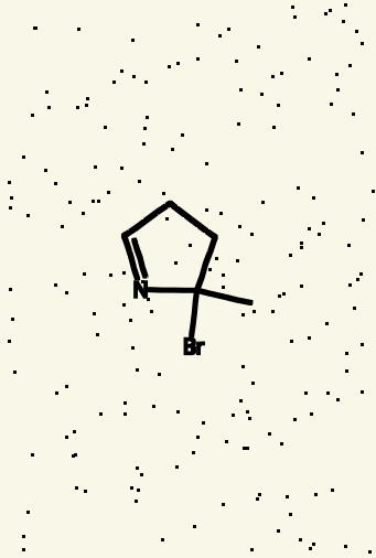 CC1(Br)CCC=N1